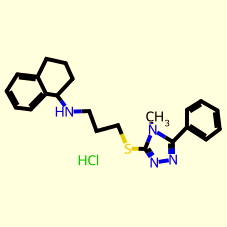 Cl.Cn1c(SCCCNC2CCCc3ccccc32)nnc1-c1ccccc1